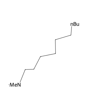 CCCCCCCCCC[N]C